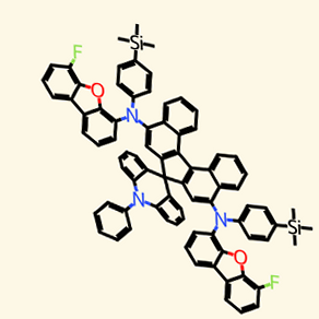 C[Si](C)(C)c1ccc(N(c2cc3c(c4ccccc24)-c2c(cc(N(c4ccc([Si](C)(C)C)cc4)c4cccc5c4oc4c(F)cccc45)c4ccccc24)C32c3ccccc3N(c3ccccc3)c3ccccc32)c2cccc3c2oc2c(F)cccc23)cc1